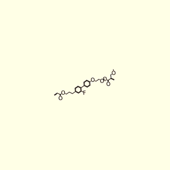 C=CC(=O)OCCCc1ccc(-c2ccc(OCCOOC(=O)C(=C)COC)cc2)c(F)c1